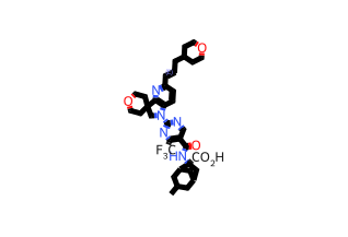 CC1CC2CC(C1)C(NC(=O)c1cnc(N3CC4(CCOCC4)c4nc(/C=C/CC5CCOCC5)ccc43)nc1C(F)(F)F)(C(=O)O)C2